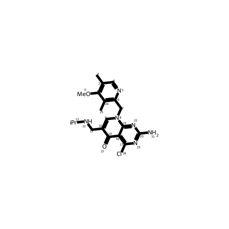 COc1c(C)cnc(Cn2cc(CNC(C)C)c(=O)c3c(Cl)nc(N)nc32)c1C